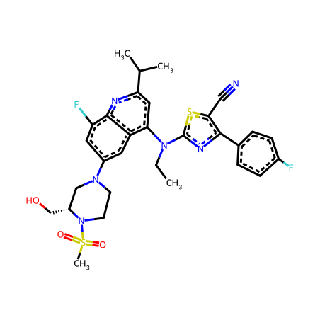 CCN(c1nc(-c2ccc(F)cc2)c(C#N)s1)c1cc(C(C)C)nc2c(F)cc(N3CCN(S(C)(=O)=O)[C@H](CO)C3)cc12